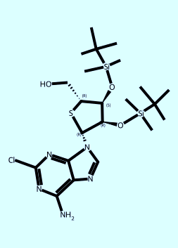 CC(C)(C)[Si](C)(C)O[C@@H]1[C@H](O[Si](C)(C)C(C)(C)C)[C@@H](CO)S[C@H]1n1cnc2c(N)nc(Cl)nc21